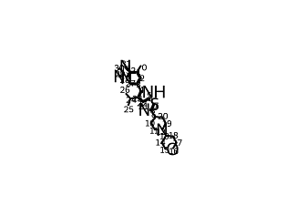 Cc1cc(-c2[nH]c3sc(C4CCN(C5CCOCC5)CC4)nc3c2C(C)C)cn2ncnc12